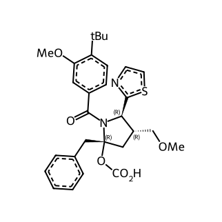 COC[C@@H]1C[C@](Cc2ccccc2)(OC(=O)O)N(C(=O)c2ccc(C(C)(C)C)c(OC)c2)[C@H]1c1nccs1